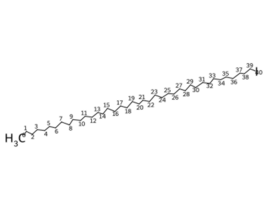 CCCCCCCCCCCCCCCCCCCCCCCCCCCCCCCCCCCCCCCCI